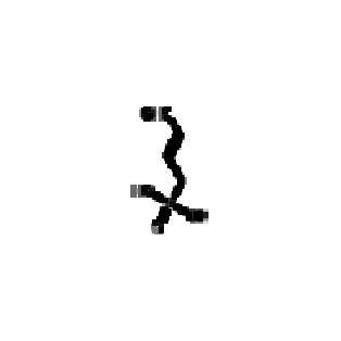 O=CC=CCP(=O)(O)O